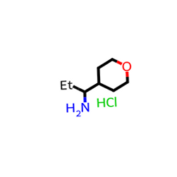 CCC(N)C1CCOCC1.Cl